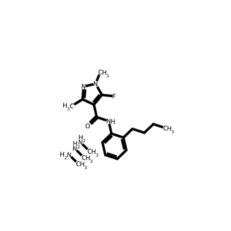 CCCCc1ccccc1NC(=O)c1c(C)nn(C)c1F.CN.CN.CN